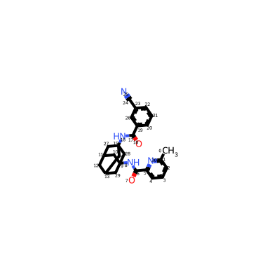 Cc1cccc(C(=O)NC23CC4CC(CC(NC(=O)c5cccc(C#N)c5)(C4)C2)C3)n1